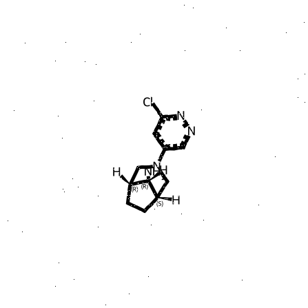 N[C@H]1[C@@H]2CC[C@H]1CN(c1cnnc(Cl)c1)C2